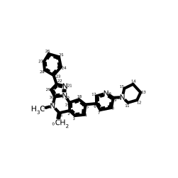 C=C1c2ccc(-c3ccc(N4CCCCC4)nc3)cc2-n2nc(-c3ccccc3)cc2N1C